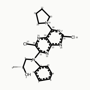 C[C@@H](O)CN(c1ccccc1)c1nc2nc(Cl)nc(N3CCCC3)c2nc1Cl